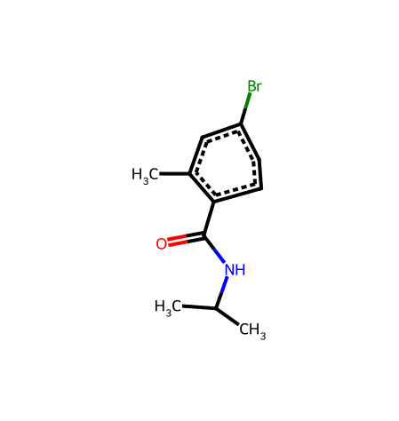 Cc1cc(Br)ccc1C(=O)NC(C)C